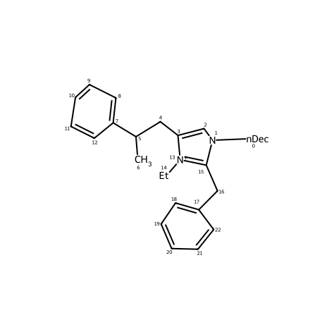 CCCCCCCCCCn1cc(CC(C)c2ccccc2)[n+](CC)c1Cc1ccccc1